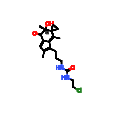 CC1=C(CCCNC(=O)NCCCl)C2=C(C)C3(CC3)[C@@](C)(O)C(=O)C2=C1